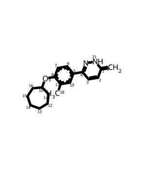 C=C1C=CC(c2ccc(OC3CCCCCC3)c(C)c2)=NN1